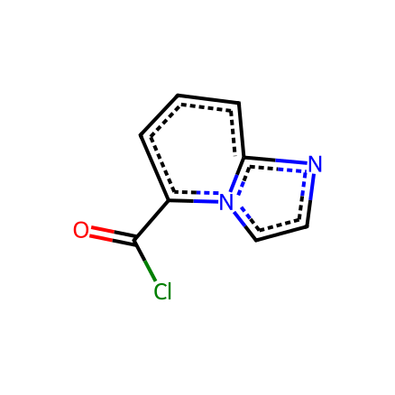 O=C(Cl)c1cccc2nccn12